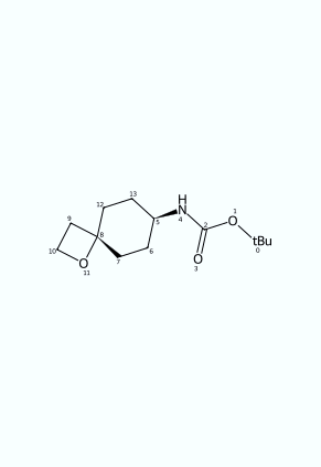 CC(C)(C)OC(=O)N[C@H]1CC[C@@]2(CCO2)CC1